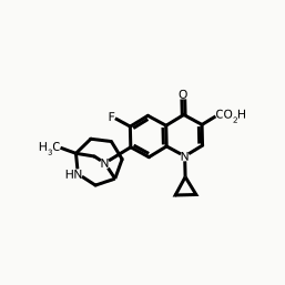 CC12CCCC(CN1)N(c1cc3c(cc1F)c(=O)c(C(=O)O)cn3C1CC1)C2